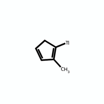 CC1=[C]([Tl])CC=C1